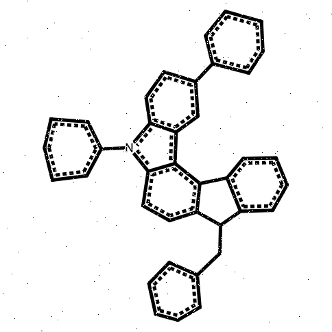 c1ccc(CC2c3ccccc3-c3c2ccc2c3c3cc(-c4ccccc4)ccc3n2-c2ccccc2)cc1